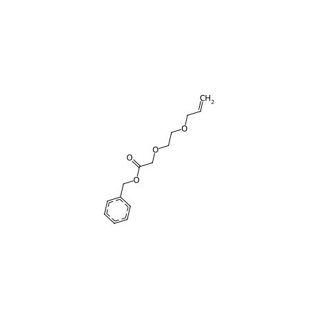 C=CCOCCOCC(=O)OCc1ccccc1